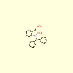 O=C1C(CO)c2ccccc2N1C(c1ccccc1)c1ccccc1